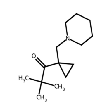 CC(C)(C)C(=O)C1(CN2CCCCC2)CC1